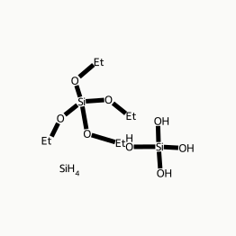 CCO[Si](OCC)(OCC)OCC.O[Si](O)(O)O.[SiH4]